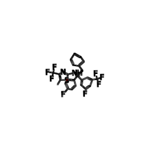 Cc1sc(N[C@@](Cc2ccccc2)(c2ccc(F)cc2)c2cc(F)cc(C(F)(F)F)c2)nc1C(F)(F)F